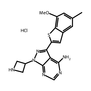 COc1cc(C)cc2cc(-c3nn(C4CNC4)c4ncnc(N)c34)sc12.Cl